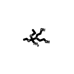 CCOC(P)(OCC)N(CCO)CCO